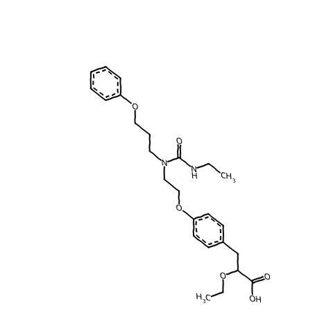 CCNC(=O)N(CCCOc1ccccc1)CCOc1ccc(CC(OCC)C(=O)O)cc1